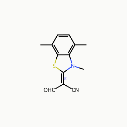 Cc1ccc(C)c2c1S/C(=C(/C#N)C=O)N2C